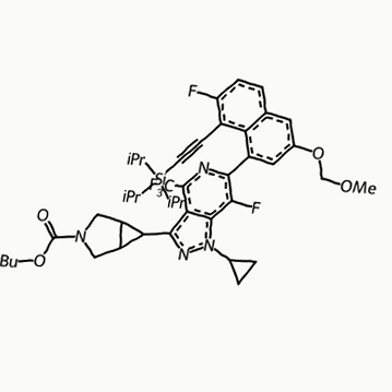 COCOc1cc(-c2nc(C(F)(F)F)c3c(C4C5CN(C(=O)OC(C)(C)C)CC54)nn(C4CC4)c3c2F)c2c(C#C[Si](C(C)C)(C(C)C)C(C)C)c(F)ccc2c1